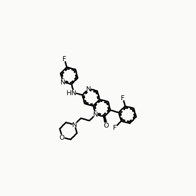 O=c1c(-c2c(F)cccc2F)cc2cnc(Nc3ccc(F)cn3)cc2n1CCN1CCOCC1